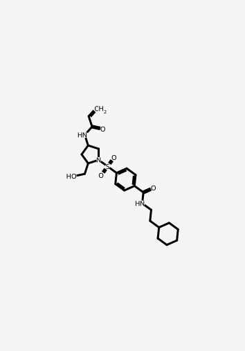 C=CC(=O)NC1CC(CO)N(S(=O)(=O)c2ccc(C(=O)NCCC3CCCCC3)cc2)C1